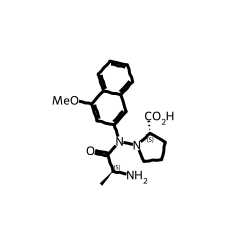 COc1cc(N(C(=O)[C@H](C)N)N2CCC[C@H]2C(=O)O)cc2ccccc12